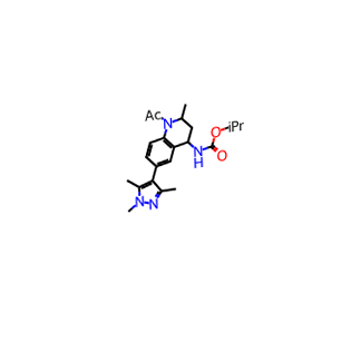 CC(=O)N1c2ccc(-c3c(C)nn(C)c3C)cc2C(NC(=O)OC(C)C)CC1C